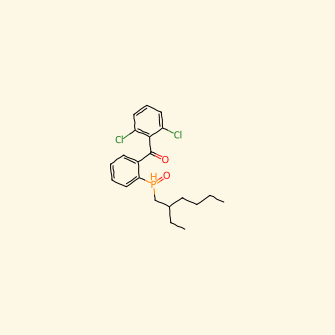 CCCCC(CC)C[PH](=O)c1ccccc1C(=O)c1c(Cl)cccc1Cl